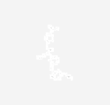 Cl.NCc1ccnc(Oc2cccc(C(=O)NCc3ccc(C(=O)O)cc3)c2)c1